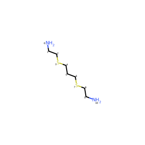 NCCSCCCSCCN